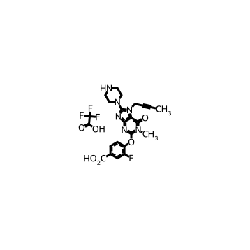 CC#CCn1c(N2CCNCC2)nc2nc(Oc3ccc(C(=O)O)cc3F)n(C)c(=O)c21.O=C(O)C(F)(F)F